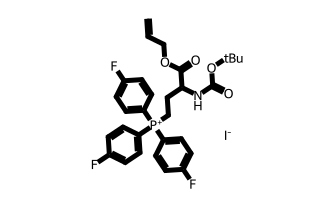 C=CCOC(=O)C(CC[P+](c1ccc(F)cc1)(c1ccc(F)cc1)c1ccc(F)cc1)NC(=O)OC(C)(C)C.[I-]